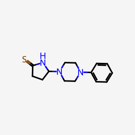 S=C1CCC(N2CCN(c3ccccc3)CC2)N1